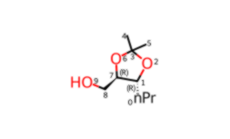 CCC[C@H]1OC(C)(C)O[C@@H]1CO